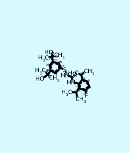 CC(C)c1ccc(F)c(C(C)C)c1NC(=O)NSc1cc(C(C)(C)O)cc(C(C)(C)O)c1